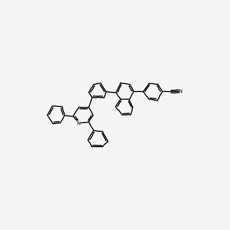 N#Cc1ccc(-c2ccc(-c3cccc(-c4cc(-c5ccccc5)nc(-c5ccccc5)c4)c3)c3ccccc23)cc1